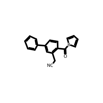 N#CCc1cc(-c2ccccc2)ccc1C(=O)B1C=CC=C1